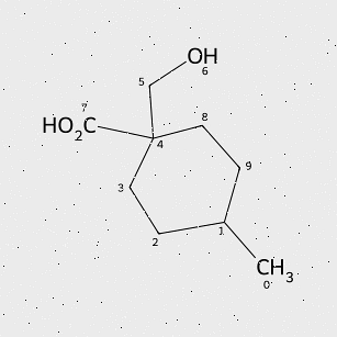 CC1CCC(CO)(C(=O)O)CC1